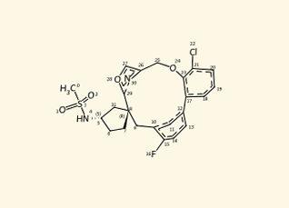 CS(=O)(=O)N[C@H]1CC[C@@]2(Cc3cc(ccc3F)-c3cccc(Cl)c3OCc3coc2n3)C1